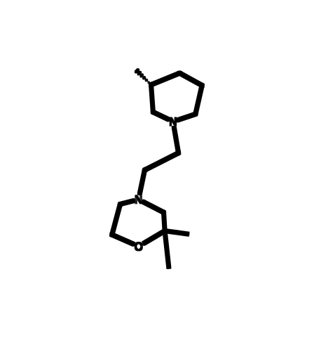 C[C@@H]1CCCN(CCN2CCOC(C)(C)C2)C1